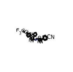 N#Cc1ccc(-c2nnc(/C=C/c3nnc(-c4ccc(OCC(F)(F)F)cn4)n3-c3ccccc3Cl)o2)cc1